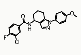 COc1ccc(-n2ncc3c2CCCC3NC(=O)c2ccc(F)c(Cl)c2)cc1